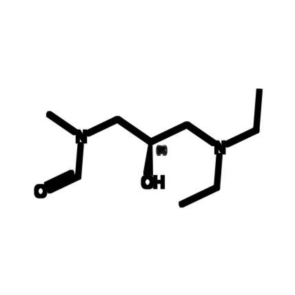 CCN(CC)C[C@@H](O)CN(C)C=O